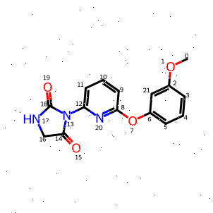 COc1cccc(Oc2cccc(N3C(=O)CNC3=O)n2)c1